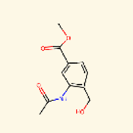 COC(=O)c1ccc(CO)c(NC(C)=O)c1